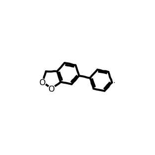 [c]1ccc(-c2ccc3c(c2)OOC3)cc1